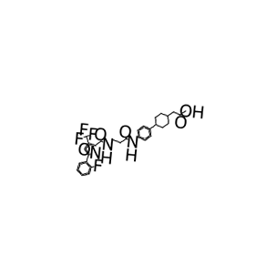 O=C(O)CC1CCC(c2ccc(NC(=O)CCNC(=O)c3nc(-c4ccccc4F)oc3C(F)(F)F)cc2)CC1